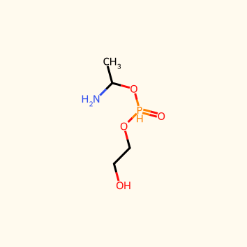 CC(N)O[PH](=O)OCCO